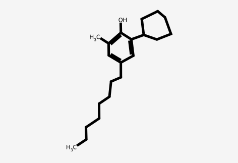 CCCCCCCCc1cc(C)c(O)c(C2CCCCC2)c1